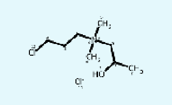 CC(O)C[N+](C)(C)CCCCl.[Cl-]